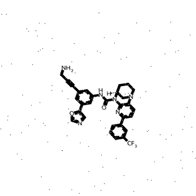 NCC#Cc1cc(NC(=O)N2c3nc(-c4cccc(C(F)(F)F)c4)ccc3N3CCC[C@H]2C3)cc(-c2cnco2)c1